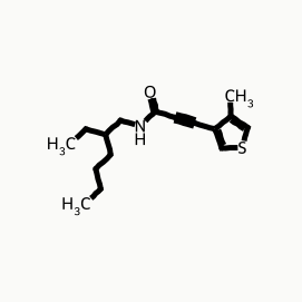 CCCCC(CC)CNC(=O)C#Cc1cscc1C